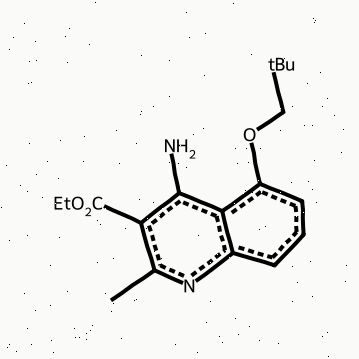 CCOC(=O)c1c(C)nc2cccc(OCC(C)(C)C)c2c1N